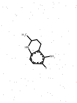 CC1CCc2c(ccc(F)c2N)N1